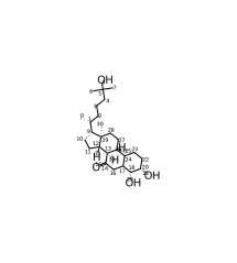 C[C@H](CCCC(C)(C)O)[C@H]1CC[C@H]2[C@@H]3C(=O)CC4[C@@H](O)[C@@H](O)CC[C@]4(C)[C@H]3CC[C@]12C